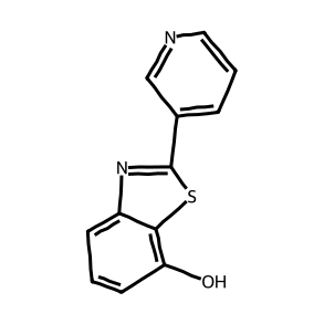 Oc1cccc2nc(-c3cccnc3)sc12